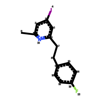 Cc1cc(I)cc(CCc2ccc(F)cc2)n1